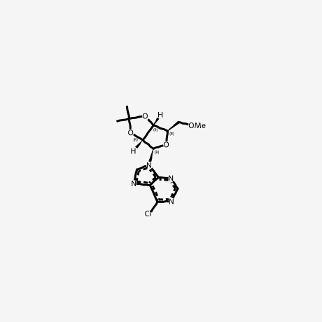 COC[C@H]1O[C@@H](n2cnc3c(Cl)ncnc32)[C@@H]2OC(C)(C)O[C@@H]21